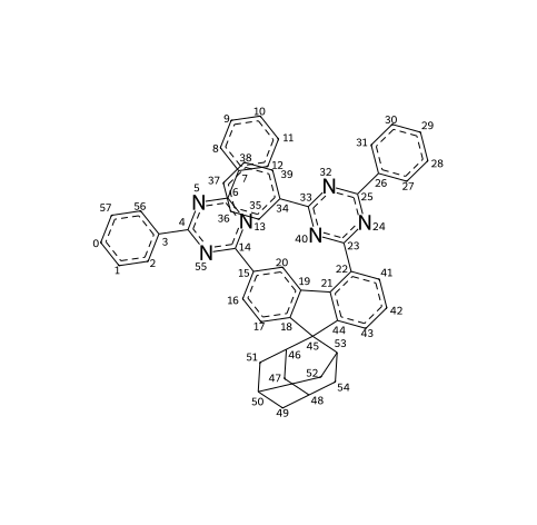 c1ccc(-c2nc(-c3ccccc3)nc(-c3ccc4c(c3)-c3c(-c5nc(-c6ccccc6)nc(-c6ccccc6)n5)cccc3C43C4CC5CC(C4)CC3C5)n2)cc1